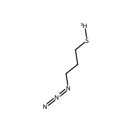 [3H]SCCCN=[N+]=[N-]